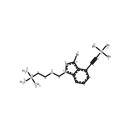 CC(C)[Si](C#Cc1cccc2c1c(Br)nn2COCC[Si](C)(C)C)(C(C)C)C(C)C